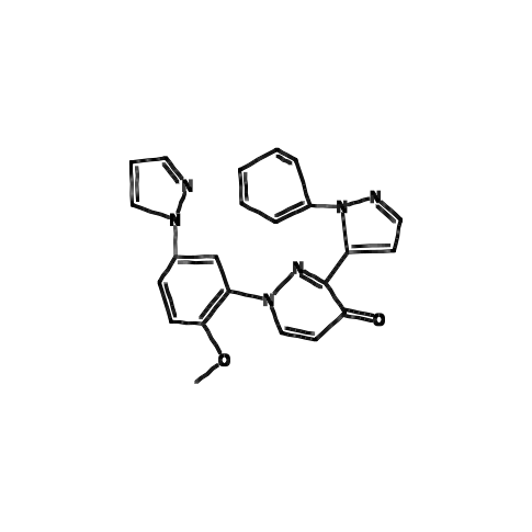 COc1ccc(-n2cccn2)cc1-n1ccc(=O)c(-c2ccnn2-c2ccccc2)n1